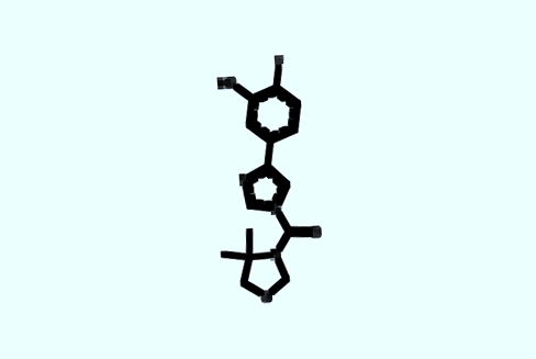 CC1(C)COCN1C(=O)n1cnc(-c2ccc(F)c(O)c2)c1